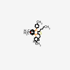 CCCCc1sc(CCCC)c(P(c2ccc(C)cc2)c2ccc(C)cc2)c1P(c1ccc(C)cc1)c1ccc(C)cc1